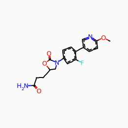 COc1ccc(-c2ccc(N3CC(CCC(N)=O)OC3=O)cc2F)cn1